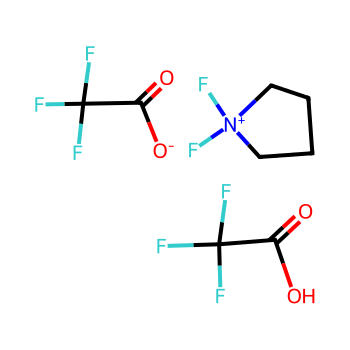 F[N+]1(F)CCCC1.O=C(O)C(F)(F)F.O=C([O-])C(F)(F)F